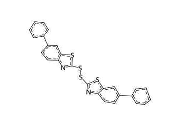 c1ccc(-c2ccc3nc(SSc4nc5ccc(-c6ccccc6)cc5s4)sc3c2)cc1